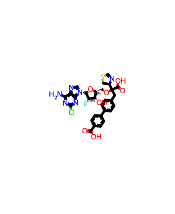 Nc1nc(Cl)nc2c1ncn2[C@@H]1O[C@H](COC(Cc2ccc(-c3ccc(C(=O)O)cc3)cc2)(C(=O)O)C2CSC=N2)[C@@H](O)[C@@H]1F